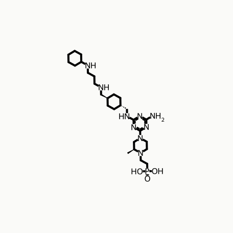 C[C@H]1CN(c2nc(N)nc(NC[C@H]3CC[C@H](CNCCCNC4CCCCC4)CC3)n2)CCN1CCP(=O)(O)O